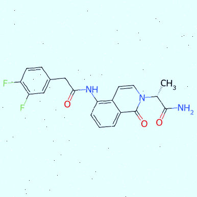 C[C@H](C(N)=O)n1ccc2c(NC(=O)Cc3ccc(F)c(F)c3)cccc2c1=O